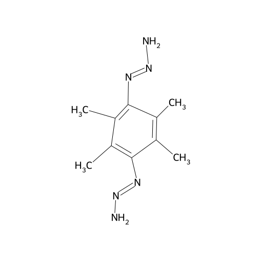 Cc1c(C)c(N=NN)c(C)c(C)c1N=NN